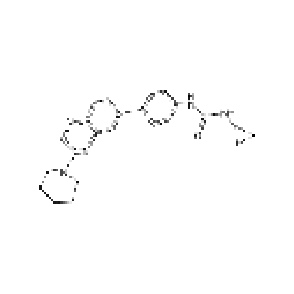 O=C(Nc1ccc(-c2ccc3ncc(N4CCCCC4)nc3c2)cc1)NC1CC1